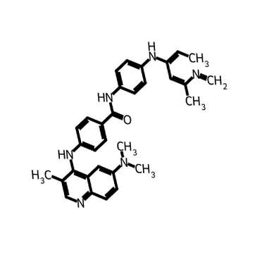 C=N/C(C)=C\C(=C/C)Nc1ccc(NC(=O)c2ccc(Nc3c(C)cnc4ccc(N(C)C)cc34)cc2)cc1